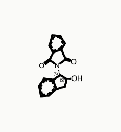 O=C1c2ccccc2C(=O)N1[C@H]1c2ccccc2C[C@@H]1O